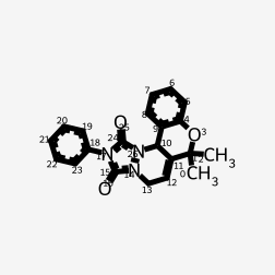 CC1(C)Oc2ccccc2C2C1=CCn1c(=O)n(-c3ccccc3)c(=O)n12